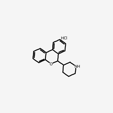 Cl.c1ccc2c(c1)OC(C1CCCNC1)c1ccccc1-2